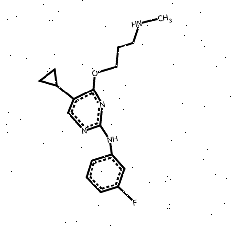 CNCCCOc1nc(Nc2cccc(F)c2)ncc1C1CC1